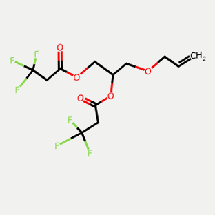 C=CCOCC(COC(=O)CC(F)(F)F)OC(=O)CC(F)(F)F